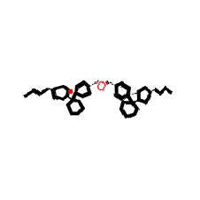 CCCC[C@H]1CC[C@H](C2([C@]3(C)C=C[C@@H](COC[C@H]4C=C[C@](C)(C5([C@H]6CC[C@H](CCCC)CC6)CCCCC5)C=C4)C=C3)CCCCC2)CC1